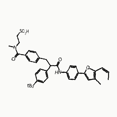 C/C=C\c1oc(-c2ccc(NC(=O)C(Cc3ccc(C(=O)N(C)CCS(=O)(=O)O)cc3)c3ccc(C(C)(C)C)cc3)cc2)cc1C